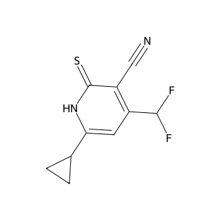 N#Cc1c(C(F)F)cc(C2CC2)[nH]c1=S